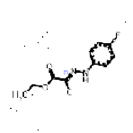 CCOC(=O)/C(Cl)=N/Nc1ccc(F)cc1